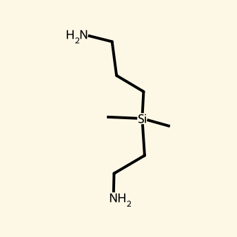 C[Si](C)(CCN)CCCN